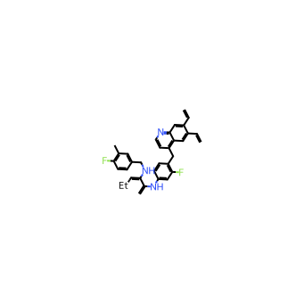 C=Cc1cc2nccc(Cc3ccc(NC(=C)/C(=C\CC)NCc4ccc(F)c(C)c4)cc3F)c2cc1C=C